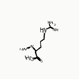 N=NC(CCCNC(=N)N)C(=O)O